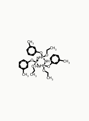 CCOP1(Oc2cccc(C)c2)=N[PH](OCC)(Oc2cccc(C)c2)N[PH](OCC)(Oc2cccc(C)c2)N1